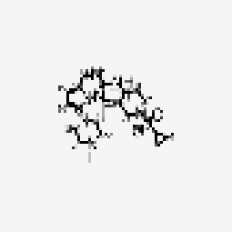 O=S(=O)(C1CC1)N1CC[C@@H](Nc2ncc3ccc(N4CCNCC4)n3n2)[C@H](F)C1